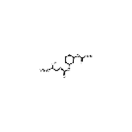 CCCCCC(CCC)COC(=O)OC1CCCC(OC(=O)OCC(C)C)C1